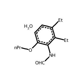 CCCOc1ccc(CC)c(CC)c1NC=O.O